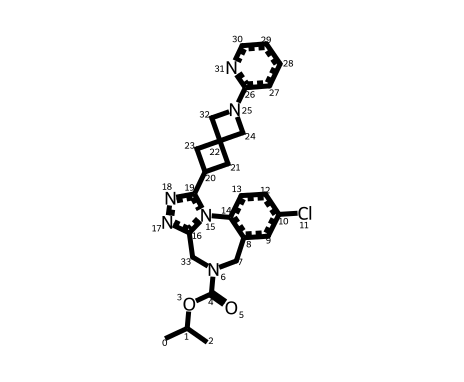 CC(C)OC(=O)N1Cc2cc(Cl)ccc2-n2c(nnc2C2CC3(C2)CN(c2ccccn2)C3)C1